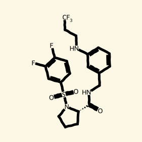 O=C(NCc1cccc(NCCC(F)(F)F)c1)[C@@H]1CCCN1S(=O)(=O)c1ccc(F)c(F)c1